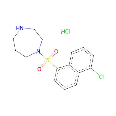 Cl.O=S(=O)(c1cccc2c(Cl)cccc12)N1CCCNCC1